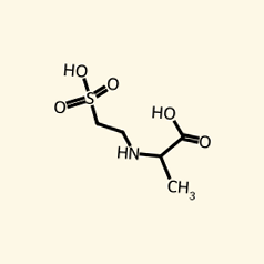 CC(NCCS(=O)(=O)O)C(=O)O